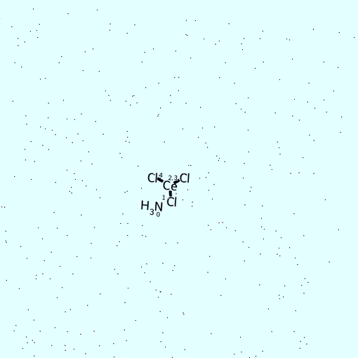 N.[Cl][Ce]([Cl])[Cl]